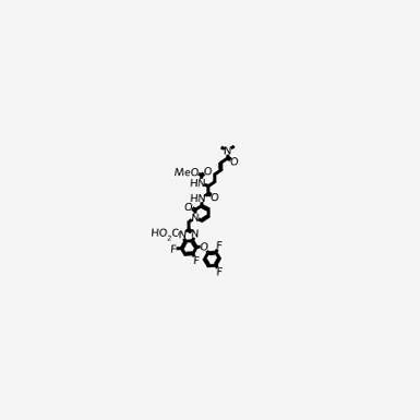 COC(=O)NC(CCC=CC(=O)N(C)C)C(=O)Nc1cccn(Cc2nc3c(Oc4ccc(F)cc4F)c(F)cc(F)c3n2C(=O)O)c1=O